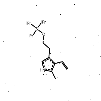 C=Cc1c(CCO[Si](C(C)C)(C(C)C)C(C)C)c[nH]c1C